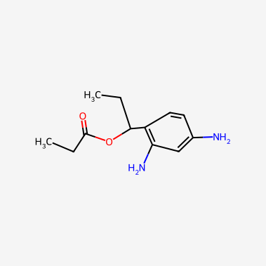 CCC(=O)OC(CC)c1ccc(N)cc1N